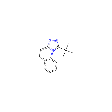 CC(C)(C)c1nnc2ccc3ccccc3n12